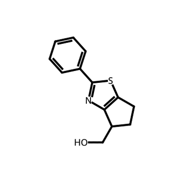 OCC1CCc2sc(-c3ccccc3)nc21